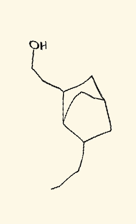 CCC1CC2CC(CO)C1C2